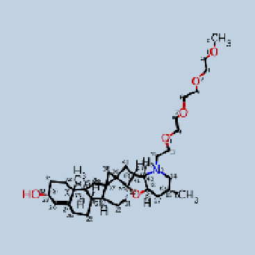 COCCOCCOCCOCCN1C[C@@H](C)C[C@H]2O[C@@]34CC[C@H]5[C@@H]6CCC7=C[C@@H](O)CC[C@]7(C)[C@H]6CC56CC63C[C@@H]4[C@@H]21